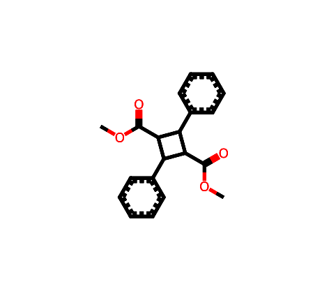 COC(=O)C1C(c2ccccc2)C(C(=O)OC)C1c1ccccc1